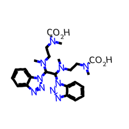 CN(CCN(C)C(C(N(C)CCN(C)C(=O)O)n1nnc2ccccc21)n1nnc2ccccc21)C(=O)O